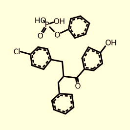 O=C(c1ccc(O)cc1)C(Cc1ccccc1)Cc1ccc(Cl)cc1.O=P(O)(O)Oc1ccccc1